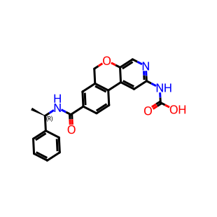 C[C@@H](NC(=O)c1ccc2c(c1)COc1cnc(NC(=O)O)cc1-2)c1ccccc1